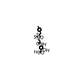 Cc1ccc(/C=C2\SC(=S)N(CCC(=O)Nc3ccc(C(=O)O)c(O)c3)C2=O)cc1